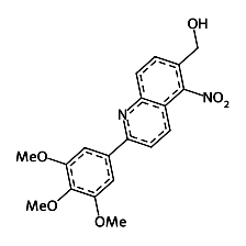 COc1cc(-c2ccc3c([N+](=O)[O-])c(CO)ccc3n2)cc(OC)c1OC